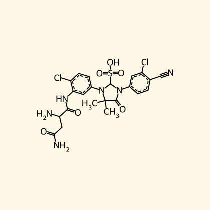 CC1(C)C(=O)N(c2ccc(C#N)c(Cl)c2)C(S(=O)(=O)O)N1c1ccc(Cl)c(NC(=O)C(N)CC(N)=O)c1